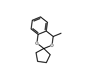 CC1OC2(CCCC2)Oc2ccccc21